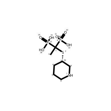 CC(S[C@H]1CCCNC1)(P(=O)(O)O)P(=O)(O)O